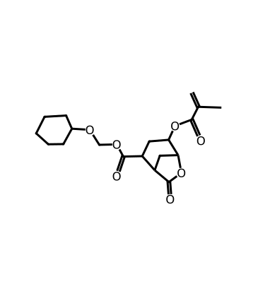 C=C(C)C(=O)OC1CC(C(=O)OCOC2CCCCC2)C2CC1OC2=O